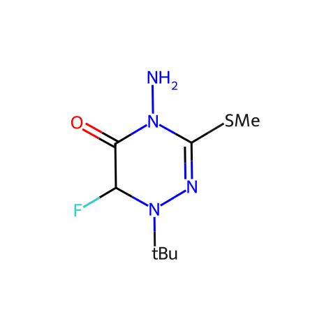 CSC1=NN(C(C)(C)C)C(F)C(=O)N1N